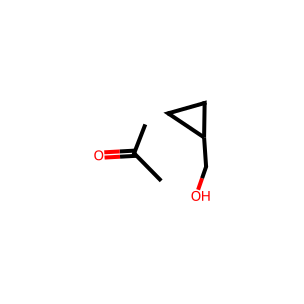 CC(C)=O.OCC1CC1